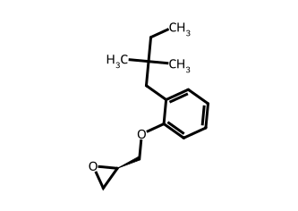 CCC(C)(C)Cc1ccccc1OC[C@H]1CO1